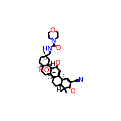 CC1(C)C(=O)C(C#N)=C[C@]2(C)C3=CC(=O)[C@]4(O)[C@@H]5C[C@@](C)(CNC(=O)N6CCOCC6)CC[C@]5(C)CC[C@@]4(C)[C@]3(C)CC[C@@H]12